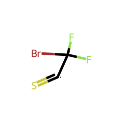 FC(F)(Br)[C]=S